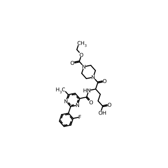 CCOC(=O)N1CCN(C(=O)C(CCC(=O)O)NC(=O)c2cc(C)nc(-c3ccccc3F)n2)CC1